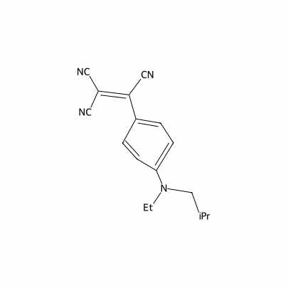 CCN(CC(C)C)c1ccc(C(C#N)=C(C#N)C#N)cc1